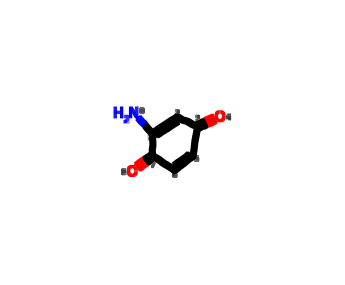 NC1=CC(=O)C=CC1=O